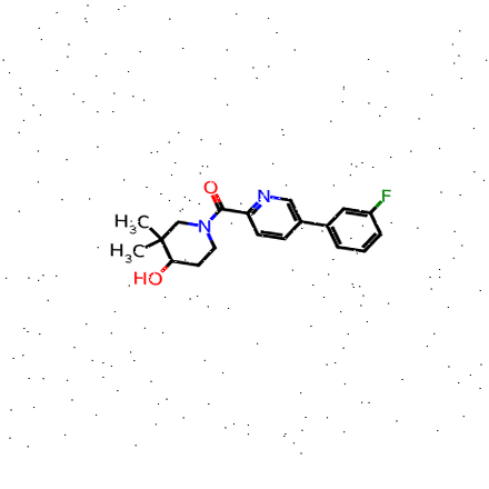 CC1(C)CN(C(=O)c2ccc(-c3cccc(F)c3)cn2)CCC1O